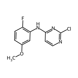 COc1ccc(F)c(Nc2ccnc(Cl)n2)c1